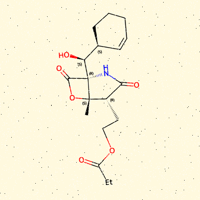 CCC(=O)OCC[C@H]1C(=O)N[C@@]2([C@@H](O)[C@@H]3C=CCCC3)C(=O)O[C@@]12C